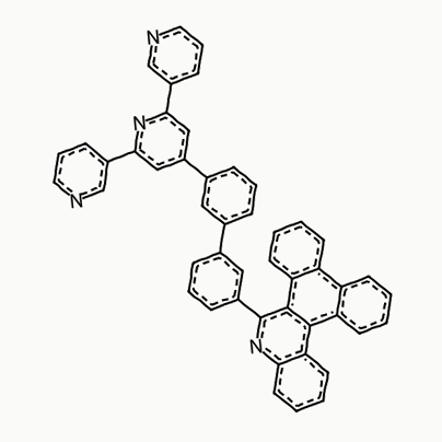 c1cc(-c2cccc(-c3nc4ccccc4c4c5ccccc5c5ccccc5c34)c2)cc(-c2cc(-c3cccnc3)nc(-c3cccnc3)c2)c1